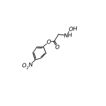 O=C(CNO)Oc1ccc([N+](=O)[O-])cc1